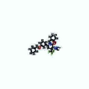 [C-]#[N+]c1c(C(F)(F)F)cc(-c2cccc(OCc3ccccc3)c2)n(Cc2ccccc2)c1=O